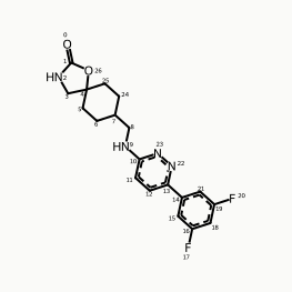 O=C1NCC2(CCC(CNc3ccc(-c4cc(F)cc(F)c4)nn3)CC2)O1